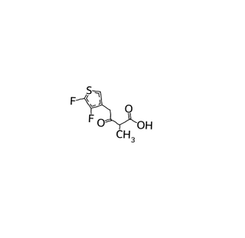 CC(C(=O)O)C(=O)Cc1csc(F)c1F